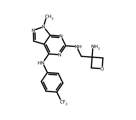 Cn1ncc2c(Nc3ccc(C(F)(F)F)cc3)nc(NCC3(N)COC3)nc21